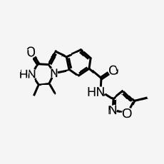 Cc1cc(NC(=O)c2ccc3cc4n(c3c2)C(C)C(C)NC4=O)no1